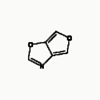 c1nc2cocc2o1